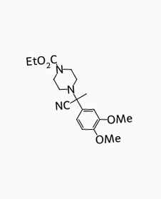 CCOC(=O)N1CCN(C(C)(C#N)c2ccc(OC)c(OC)c2)CC1